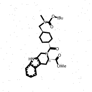 COC(=O)[C@@H]1Cc2c([nH]c3ccccc23)CN1C(=O)[C@H]1CC[C@H](CN(C)C(=O)OC(C)(C)C)CC1